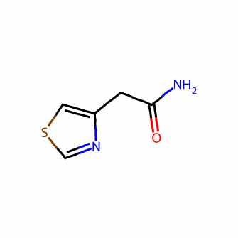 NC(=O)Cc1cscn1